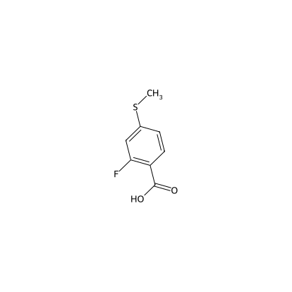 CSc1ccc(C(=O)O)c(F)c1